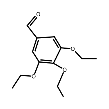 CCOc1cc(C=O)cc(OCC)c1OCC